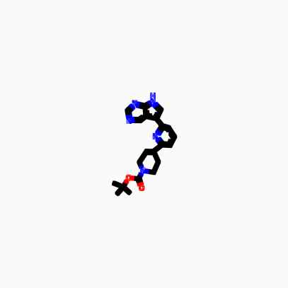 CC(C)(C)OC(=O)N1CC=C(c2cccc(-c3c[nH]c4ncncc34)n2)CC1